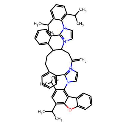 C=C1CC2C(CCc3ccccc3-c3n(-c4c(C(C)C)cc(C(C)C)c5oc6ccccc6c45)cc[n+]31)c1ccccc1-c1n(-c3c(C(C)C)cccc3C(C)C)cc[n+]12